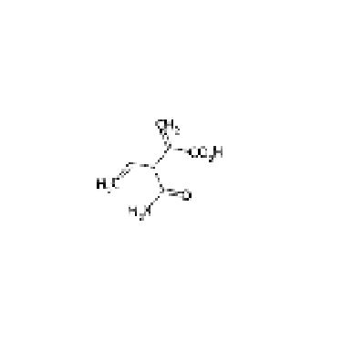 C=CC(C(=C)C(=O)O)C(N)=O